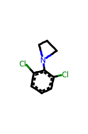 Clc1cccc(Cl)c1N1CCC1